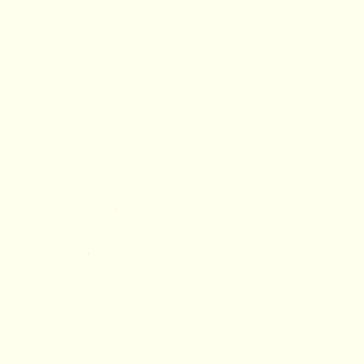 CCCCCCCCc1ccc(S(=O)(=O)Cl)c(OCCOCCCCCC)c1